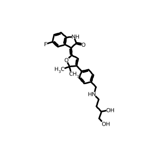 CC1(C)O/C(=C2/C(=O)Nc3ccc(F)cc32)C=C1c1ccc(CNCCC(O)CO)cc1